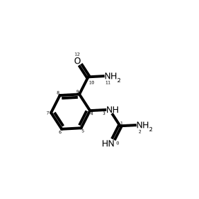 N=C(N)Nc1ccccc1C(N)=O